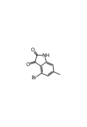 Cc1cc(Br)c2c(c1)NC(=O)C2=O